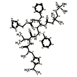 CC(C)c1nc(CN(C)C(=O)N[C@H](C(=O)N[C@@H](Cc2ccccc2)C[C@H](OC(=O)CC(C)(C)COP(=O)(O)O)[C@H](Cc2ccccc2)NC(=O)OCc2cncs2)C(C)C)cs1